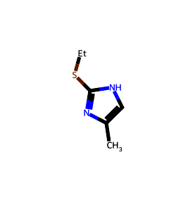 CCSc1nc(C)c[nH]1